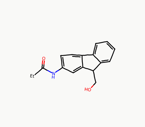 CCC(=O)Nc1ccc2c(c1)C(CO)c1ccccc1-2